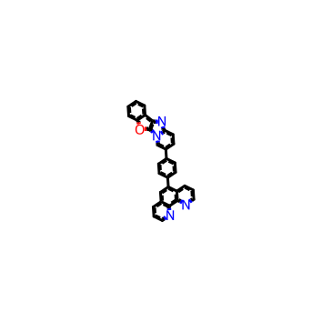 c1cnc2c(c1)cc(-c1ccc(-c3ccc4nc5c6ccccc6oc5n4c3)cc1)c1cccnc12